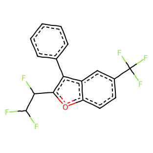 FC(F)C(F)c1oc2ccc(C(F)(F)F)cc2c1-c1ccccc1